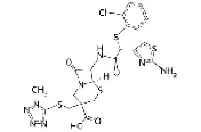 Cn1nnnc1SCC1(C(=O)O)CS[C@@H]2C(NC(=O)C(Sc3ccccc3Cl)c3csc(N)n3)C(=O)N2C1